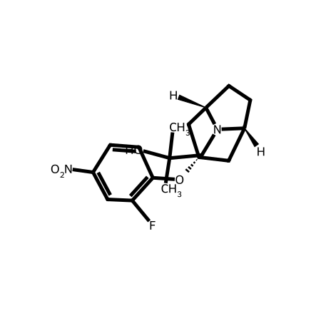 CC(C)(O)CN1[C@@H]2CC[C@H]1C[C@@H](Oc1ccc([N+](=O)[O-])cc1F)C2